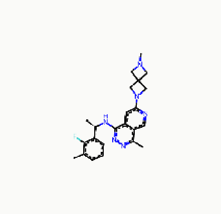 Cc1cccc([C@@H](C)Nc2nnc(C)c3cnc(N4CC5(CN(C)C5)C4)cc23)c1F